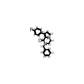 O=C1c2c(-c3ccc(F)cc3)ccn2CCN1Cc1ccccc1